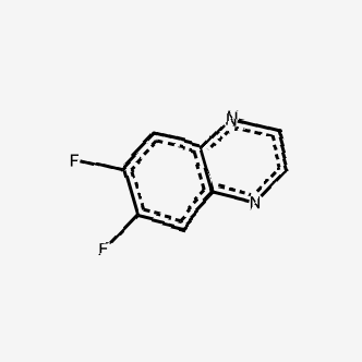 Fc1cc2nccnc2cc1F